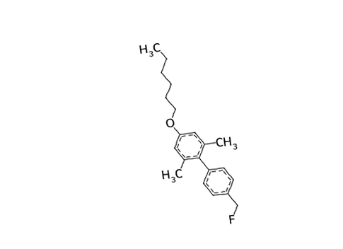 CCCCCCOc1cc(C)c(-c2ccc(CF)cc2)c(C)c1